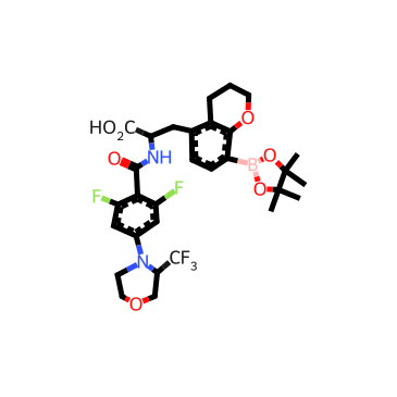 CC1(C)OB(c2ccc(CC(NC(=O)c3c(F)cc(N4CCOCC4C(F)(F)F)cc3F)C(=O)O)c3c2OCCC3)OC1(C)C